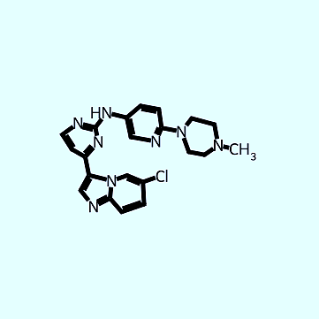 CN1CCN(c2ccc(Nc3nccc(-c4cnc5ccc(Cl)cn45)n3)cn2)CC1